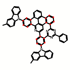 Cc1ccc2c(c1)c1ccccc1n2-c1ccc(-c2cc(-c3ccccc3-c3nc(-c4ccccc4)nc(-c4ccccc4)n3)c(-c3c(-c4ccccc4)cccc3-c3ccccc3)c(-c3ccc(-n4c5ccccc5c5cc(C)ccc54)cc3)n2)cc1